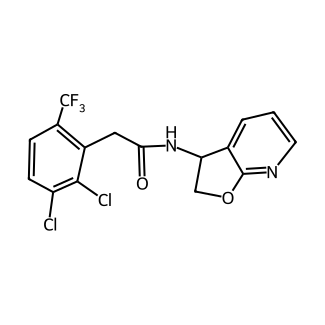 O=C(Cc1c(C(F)(F)F)ccc(Cl)c1Cl)NC1COc2ncccc21